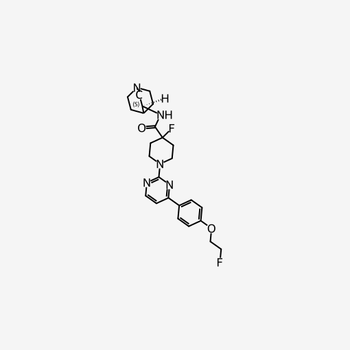 O=C(N[C@@H]1CN2CCC1CC2)C1(F)CCN(c2nccc(-c3ccc(OCCF)cc3)n2)CC1